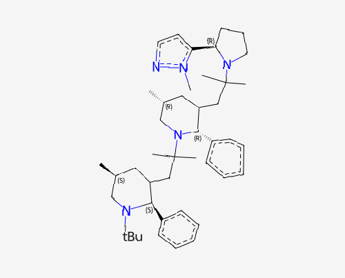 C[C@@H]1CC(CC(C)(C)N2CCC[C@@H]2c2ccnn2C)[C@H](c2ccccc2)N(C(C)(C)CC2C[C@H](C)CN(C(C)(C)C)[C@@H]2c2ccccc2)C1